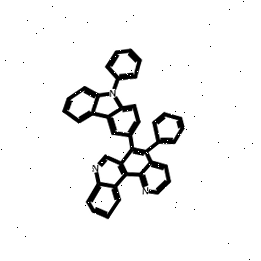 c1ccc(-c2c(-c3ccc4c(c3)c3ccccc3n4-c3ccccc3)c3cnc4ccccc4c3c3ncccc23)cc1